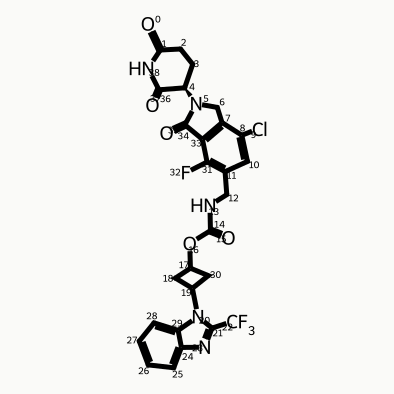 O=C1CC[C@@H](N2Cc3c(Cl)cc(CNC(=O)OC4CC(n5c(C(F)(F)F)nc6ccccc65)C4)c(F)c3C2=O)C(=O)N1